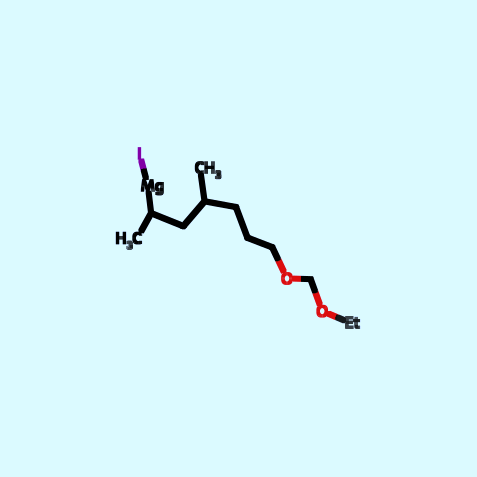 CCOCOCCCC(C)C[CH](C)[Mg][I]